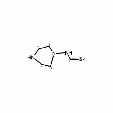 S=[C]NN1CCNCC1